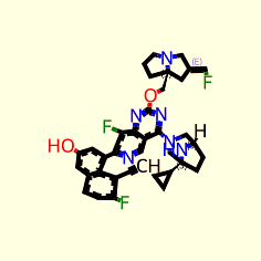 C#Cc1c(F)ccc2cc(O)cc(-c3ncc4c(N5C[C@@H]6CC[C@](C7CC7)(C5)N6)nc(OC[C@@]56CCCN5C/C(=C/F)C6)nc4c3F)c12